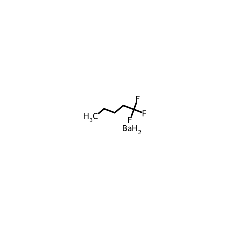 CCCCC(F)(F)F.[BaH2]